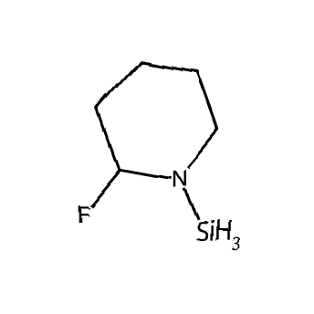 FC1CCCCN1[SiH3]